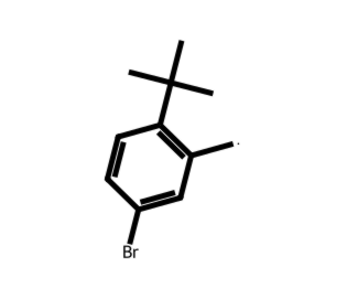 [CH2]c1cc(Br)ccc1C(C)(C)C